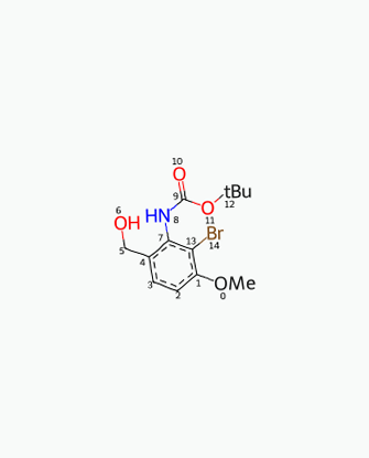 COc1ccc(CO)c(NC(=O)OC(C)(C)C)c1Br